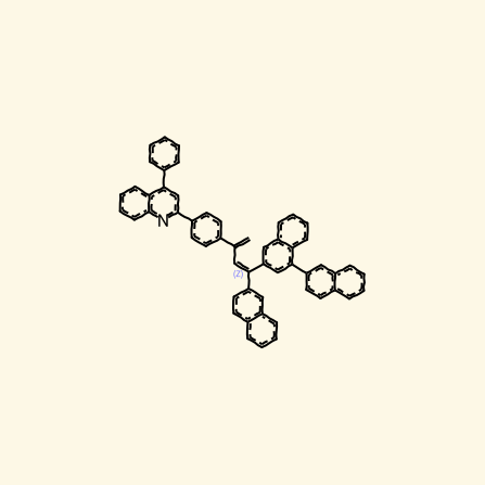 C=C(/C=C(/c1ccc2ccccc2c1)c1cc(-c2ccc3ccccc3c2)c2ccccc2c1)c1ccc(-c2cc(-c3ccccc3)c3ccccc3n2)cc1